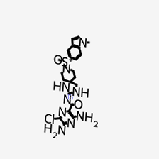 Cn1ccc2cc([S+]([O-])N3CCC4(CC3)CN/C(=N\C(=O)c3nc(Cl)c(N)nc3N)N4)ccc21